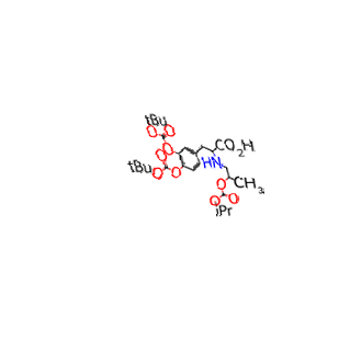 CC(C)OC(=O)OC(C)CN[C@@H](Cc1ccc(OC(=O)OC(C)(C)C)c(OC(=O)OC(C)(C)C)c1)C(=O)O